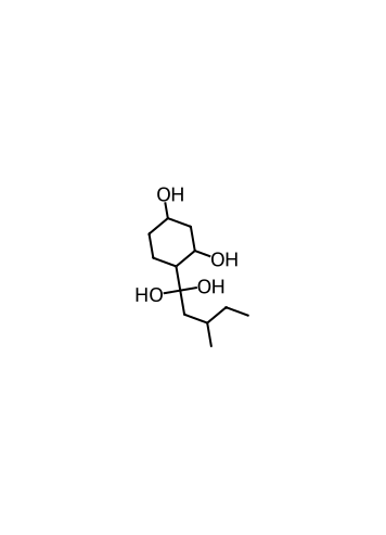 CCC(C)CC(O)(O)C1CCC(O)CC1O